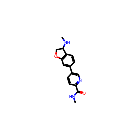 CNC(=O)c1ccc(-c2ccc3c(c2)OCC3NC)cn1